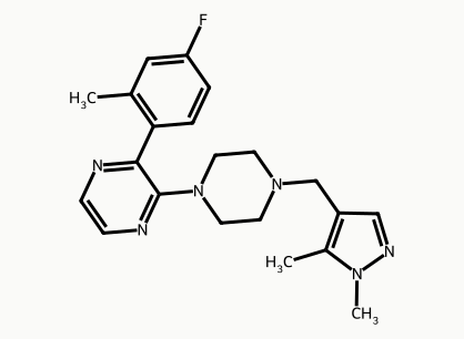 Cc1cc(F)ccc1-c1nccnc1N1CCN(Cc2cnn(C)c2C)CC1